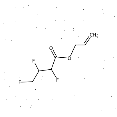 C=CCOC(=O)C(F)C(F)CF